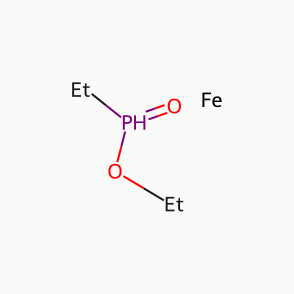 CCO[PH](=O)CC.[Fe]